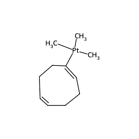 [CH3][Pt]([CH3])([CH3])/[C]1=C/CC/C=C\CC1